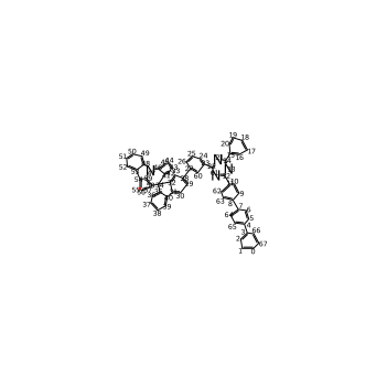 c1ccc(-c2ccc(-c3ccc(-c4nc(-c5ccccc5)nc(-c5cccc(-c6ccc7c(c6)C6(c8ccccc8-7)c7ccccc7-n7c8ccccc8c8cccc6c87)c5)n4)cc3)cc2)cc1